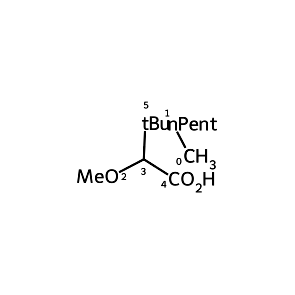 CCCCCC.COC(C(=O)O)C(C)(C)C